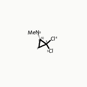 CN[C@H]1CC1(Cl)Cl